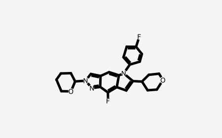 Fc1ccc(-n2c(C3CCOCC3)cc3c(F)c4nn(C5CCCCO5)cc4cc32)cc1